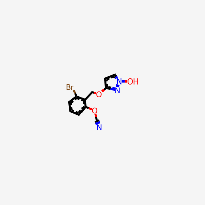 N#COc1cccc(Br)c1COc1ccn(O)n1